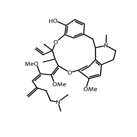 C=CC1(C)Oc2cc(ccc2O)CC2c3cc(c(OC)cc3CCN2C)O/C(=C(OC)/C(=C\C(=C)CCN(C)C)OC)C1C